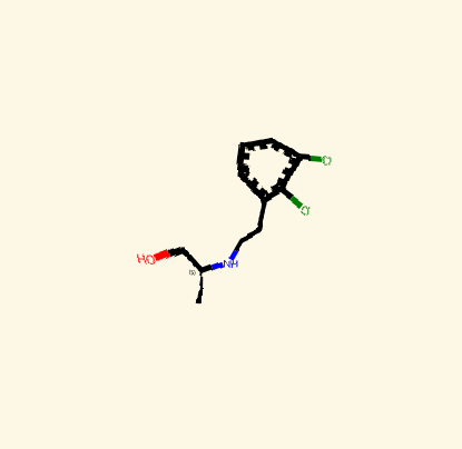 C[C@@H](CO)NCCc1cccc(Cl)c1Cl